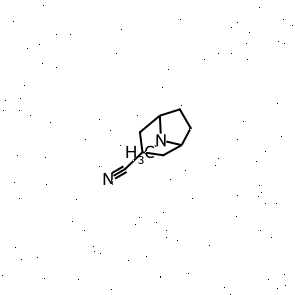 CN1C2CCC1CC(C#N)C2